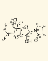 CC1(c2cc(F)ccc2Cl)OC(N2CCCC2=O)=C(O)C1=O